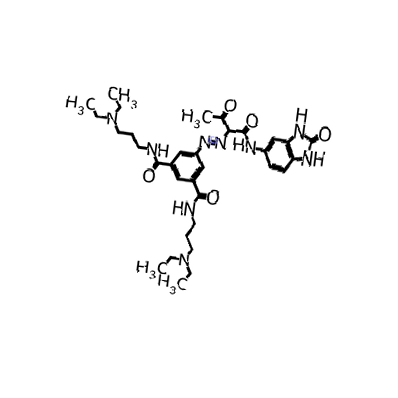 CCN(CC)CCCNC(=O)c1cc(/N=N/C(C(C)=O)C(=O)Nc2ccc3[nH]c(=O)[nH]c3c2)cc(C(=O)NCCCN(CC)CC)c1